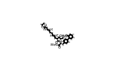 CCCCCCCC1(CCCCCC/C=C/[C@H](C(=O)N[C@@H](Cc2ccc(-c3ccccc3F)cc2)C(=O)OC)[C@@](O)(CCOC)C(=O)O)OCCO1